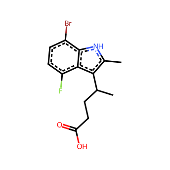 Cc1[nH]c2c(Br)ccc(F)c2c1C(C)CCC(=O)O